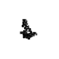 CC(C)(I)SSCOC1C[C@H](n2ccc(N)nc2=O)O[C@@H]1COP(=O)(O)OP(=O)(O)OP(=O)(O)O